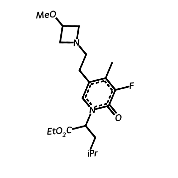 CCOC(=O)C(CC(C)C)n1cc(CCN2CC(OC)C2)c(C)c(F)c1=O